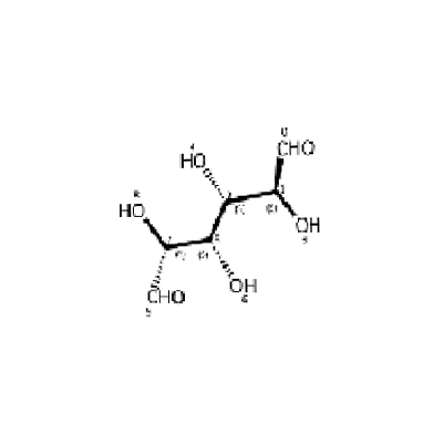 O=C[C@@H](O)[C@@H](O)[C@H](O)[C@@H](O)C=O